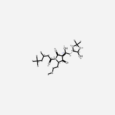 CSCCC1C(=O)/C(=C(/O)C[C@@H]2OC(C)(C)OC2O)C(=O)N1C(=O)CC(C)CC(C)(C)C